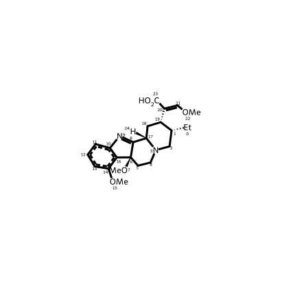 CC[C@@H]1CN2CC[C@@]3(OC)C(=Nc4cccc(OC)c43)[C@@H]2C[C@@H]1/C(=C\OC)C(=O)O